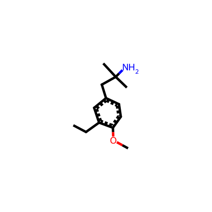 CCc1cc(CC(C)(C)N)ccc1OC